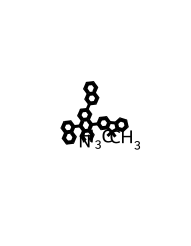 CC1(C)c2ccccc2-c2ccc(-c3c4cc(-c5ccc6ccccc6c5)ccc4c(-c4cccc5ccccc45)c4cnccc34)cc21